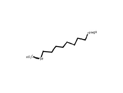 CCCCCCCCCCCCCCC[Te]C(=O)O